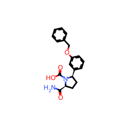 NC(=O)[C@@H]1CC[C@H](c2cccc(OCc3ccccc3)c2)N1C(=O)O